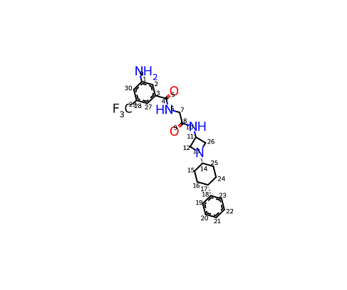 Nc1cc(C(=O)NCC(=O)NC2CN([C@H]3CC[C@@H](c4ccccc4)CC3)C2)cc(C(F)(F)F)c1